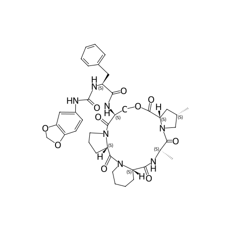 C[C@H]1C[C@H]2C(=O)OC[C@H](NC(=O)[C@H](Cc3ccccc3)NC(=O)Nc3ccc4c(c3)OCO4)C(=O)N3CCC[C@H]3C(=O)N3CCCC[C@H]3C(=O)N[C@@H](C)C(=O)N2C1